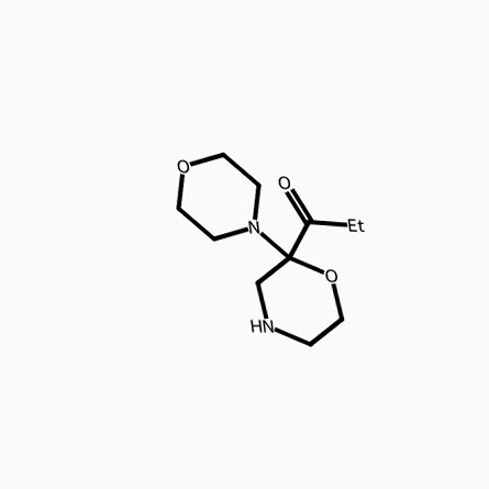 CCC(=O)C1(N2CCOCC2)CNCCO1